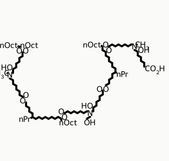 CCCCCCCCC(CCCCCCCCC(CCC)CCCCCOC(=O)CCCCCC(O)CN(CCO)CCCCCCCC(=O)OC(CCCCCCCC)CCCCCCCCC(CCC)CCCCCOC(=O)CCCCCCCN(C)CC(O)CCCCCC(=O)OC(CCCCCCCC)CCCCCCCC)OC(=O)CCCCCCCN(C)CC(O)CCCCCC(=O)O